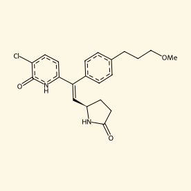 COCCCc1ccc(/C(=C\[C@H]2CCC(=O)N2)c2ccc(Cl)c(=O)[nH]2)cc1